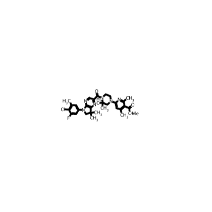 COC(=O)c1c(C)cc(N2CCN(C(=O)c3cnc4c(n3)C(C)(C)CN4c3cc(C)c(Cl)c(F)c3)C(C)(C)C2)nc1C